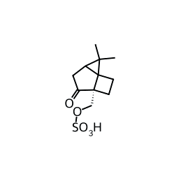 CC1(C)C2CC(=O)[C@]3(COS(=O)(=O)O)CCC213